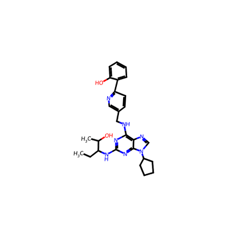 CCC(Nc1nc(NCc2ccc(-c3ccccc3O)nc2)c2ncn(C3CCCC3)c2n1)C(C)O